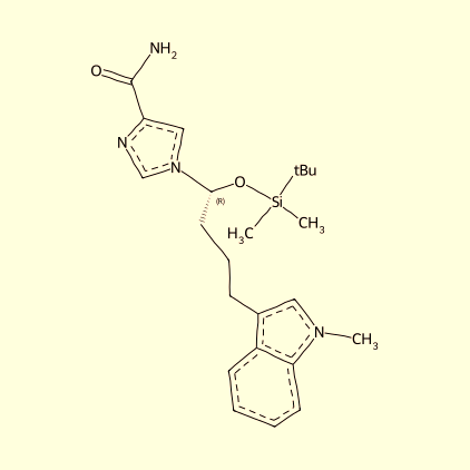 Cn1cc(CCC[C@@H](O[Si](C)(C)C(C)(C)C)n2cnc(C(N)=O)c2)c2ccccc21